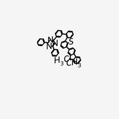 CC1(C)c2ccccc2-c2ccc(-c3cccc4c3sc3cccc(-c5cccc(-c6nc(-c7ccccc7)nc(-c7ccccc7)n6)c5)c34)cc21